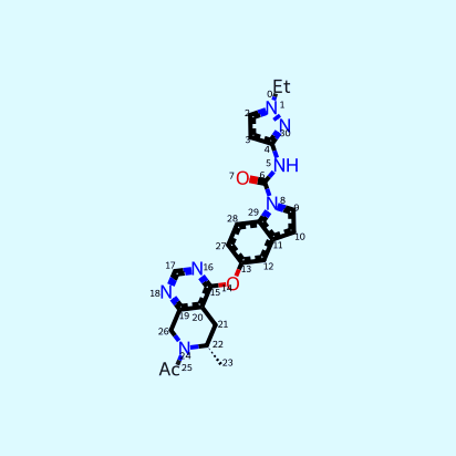 CCn1ccc(NC(=O)n2ccc3cc(Oc4ncnc5c4C[C@H](C)N(C(C)=O)C5)ccc32)n1